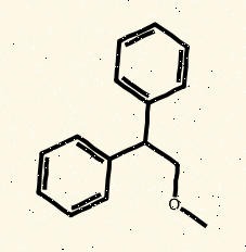 COCC(c1[c]cccc1)c1ccccc1